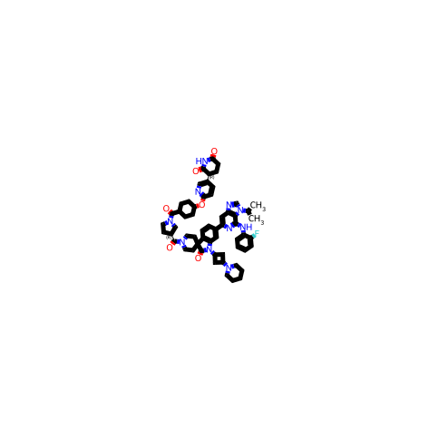 CC(C)n1cnc2cc(-c3ccc4c(c3)N(C3CC(N5CCCCC5)C3)C(=O)C43CCN(C(=O)[C@@H]4CCN(C(=O)C5CCC(Oc6ccc([C@H]7CCC(=O)NC7=O)cn6)CC5)C4)CC3)nc(Nc3ccccc3F)c21